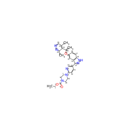 CCOC(=O)N1CCN(c2ccc(-c3n[nH]c4ccc(O[C@H](C)c5c(C)cnnc5C)cc34)cn2)CC1